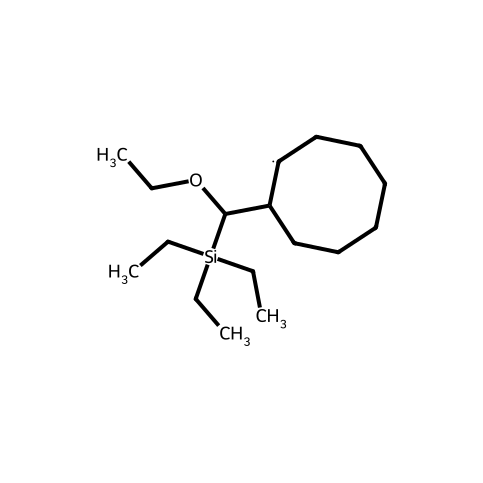 CCOC(C1[CH]CCCCCC1)[Si](CC)(CC)CC